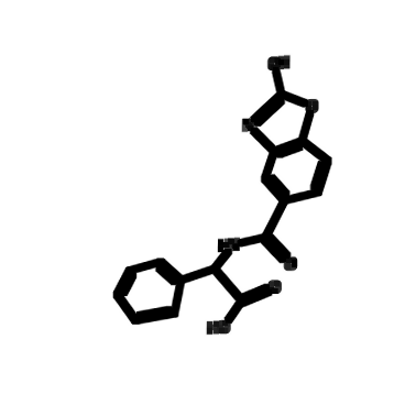 O=C(NC(C(=O)O)c1ccccc1)c1ccc2oc(O)nc2c1